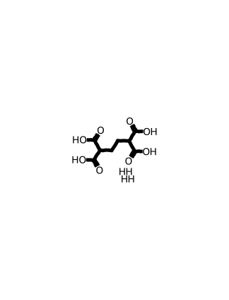 O=C(O)C(CCC(C(=O)O)C(=O)O)C(=O)O.[HH].[HH]